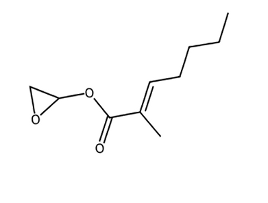 CCCCC=C(C)C(=O)OC1CO1